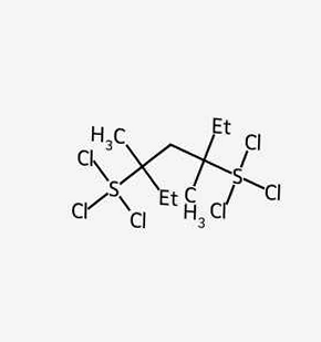 CCC(C)(CC(C)(CC)S(Cl)(Cl)Cl)S(Cl)(Cl)Cl